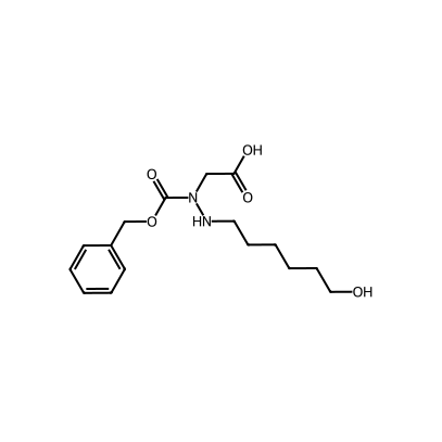 O=C(O)CN(NCCCCCCO)C(=O)OCc1ccccc1